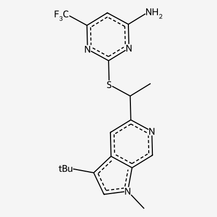 CC(Sc1nc(N)cc(C(F)(F)F)n1)c1cc2c(C(C)(C)C)cn(C)c2cn1